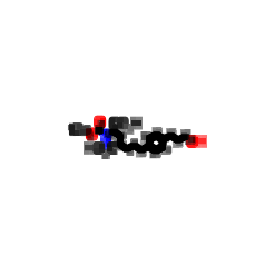 CC(C)(C)OC(=O)N[C@H](C[C@H](CCCc1ccc(CCCO)cc1)C(=O)O)C(=O)O